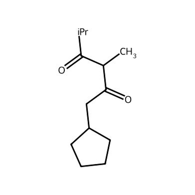 CC(C)C(=O)C(C)C(=O)CC1CCCC1